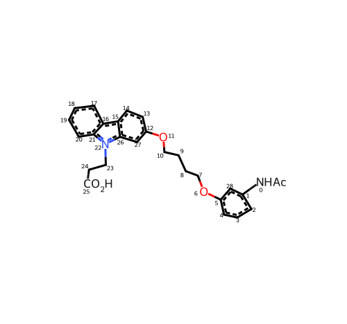 CC(=O)Nc1cccc(OCCCCOc2ccc3c4ccccc4n(CCC(=O)O)c3c2)c1